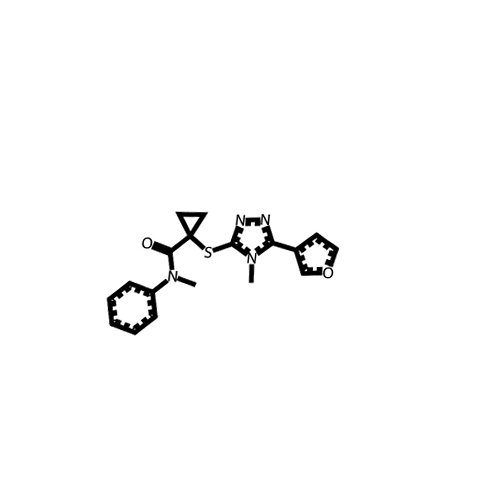 CN(C(=O)C1(Sc2nnc(-c3ccoc3)n2C)CC1)c1ccccc1